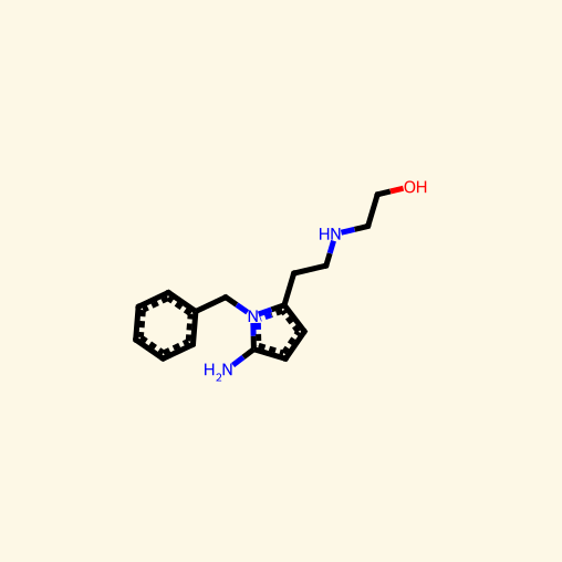 Nc1ccc(CCNCCO)n1Cc1ccccc1